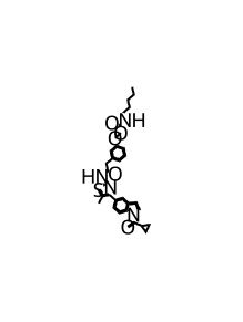 CCCCCNC(=O)OOc1cccc(CC(=O)Nc2nc(-c3ccc4c(ccn4C(=O)C4CC4)c3)c(C)s2)c1